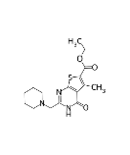 CCOC(=O)c1sc2nc(CN3CCCCC3)[nH]c(=O)c2c1C